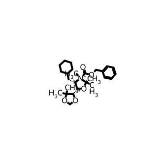 CC1(C)OCOC1[C@H]1OC(C)(C)[N+](C)(C(=O)OCc2ccccc2)[C@H]1CC1CCCCC1